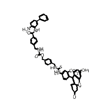 Nc1ccc(-c2ccccc2)cc1NC(=O)c1ccc(CNC(=O)OCc2ccc(CNC(=S)Nc3ccc(-c4c5ccc(=O)cc-5oc5cc(O)ccc45)c(C(=O)O)c3)cc2)cc1